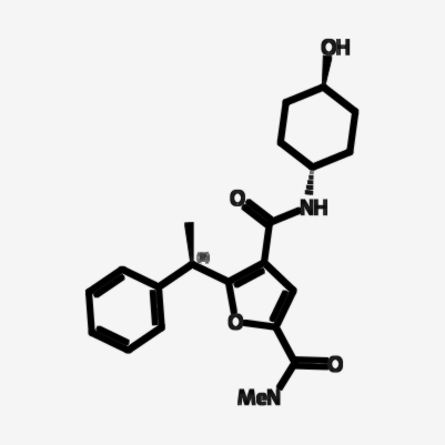 CNC(=O)c1cc(C(=O)N[C@H]2CC[C@H](O)CC2)c([C@H](C)c2ccccc2)o1